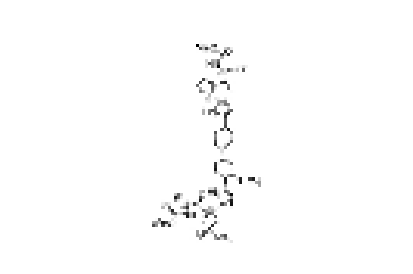 COC(=O)N[C@H](C(=O)N1CCC[C@H]1c1ncc(-c2ccc(-c3ccc(-c4cnc([C@@H]5C[Si](C)(C)CN5C(=O)[C@@H](NC(=O)OC)C(C)C)[nH]4)c(OC)c3)cc2)[nH]1)C(C)C